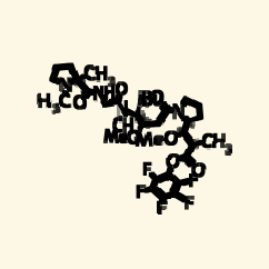 CC[C@H](C)[C@@H]([C@@H](CC(=O)N1CCC[C@H]1[C@H](OC)[C@@H](C)C(=O)Oc1c(F)c(F)c(F)c(F)c1F)OC)N(C)C(=O)CNC(=O)[C@@]1(C)CCCN1C